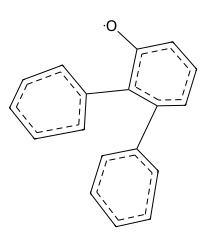 [O]c1cccc(-c2ccccc2)c1-c1ccccc1